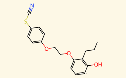 CCCc1c(O)[c]ccc1OCCOc1ccc(SC#N)cc1